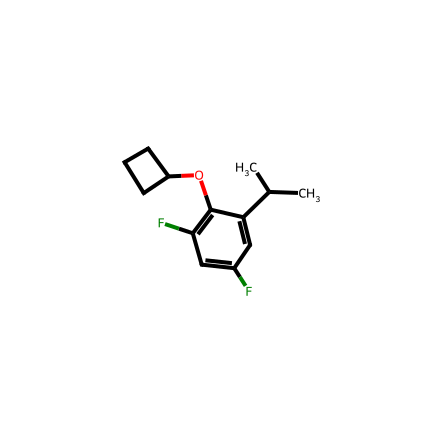 CC(C)c1cc(F)cc(F)c1OC1CCC1